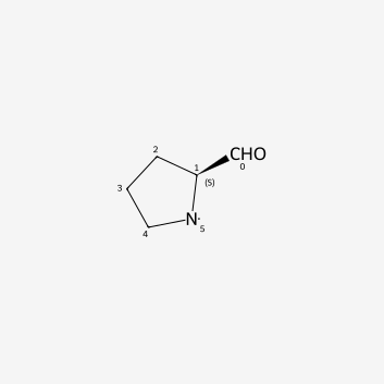 O=C[C@@H]1CCC[N]1